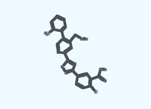 COCc1cc(-c2nc(-c3ccc(Cl)c(C(=O)OC)c3)no2)ccc1-c1ccccc1C